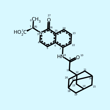 C[C@H](C(=O)O)n1ccc2c(NC(=O)CC34CC5CC(CC(C5)C3)C4)cccc2c1=O